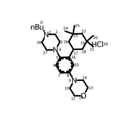 CCCCN1CCN(c2ccc(N3CCOCC3)cc2C2CC(C)(C)CC(C)(C)C2)CC1.Cl